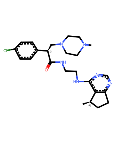 C[C@@H]1CCc2ncnc(NCCNC(=O)[C@H](CN3CCN(C)CC3)c3ccc(Cl)cc3)c21